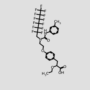 CCOC(Cc1ccc(OCCN(CC(F)(F)C(F)(F)C(F)(F)C(F)(F)C(F)(F)C(F)(F)F)C(=O)Nc2cccc(C)c2)cc1)C(=O)O